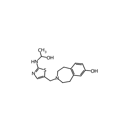 CC(O)Nc1ncc(CN2CCc3ccc(O)cc3CC2)s1